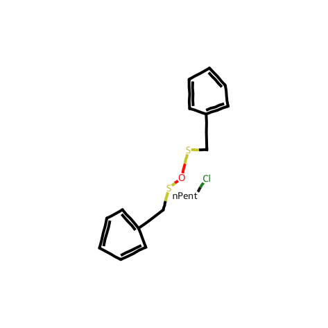 CCCCCCl.c1ccc(CSOSCc2ccccc2)cc1